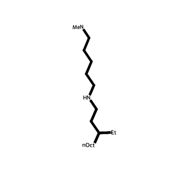 CCCCCCCCC(CC)CCNCCCCCNC